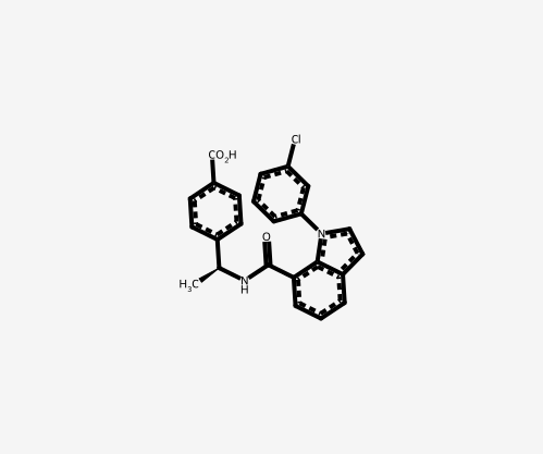 C[C@H](NC(=O)c1cccc2ccn(-c3cccc(Cl)c3)c12)c1ccc(C(=O)O)cc1